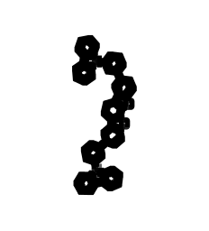 C1=CC(c2cccc(-n3c4ccccc4c4ccccc43)c2)Cc2c1oc1c2CCc2c-1oc1ccc(-c3cccc(-n4c5ccccc5c5ccccc54)c3)cc21